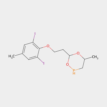 Cc1cc(I)c(OCCC2OPCC(C)O2)c(I)c1